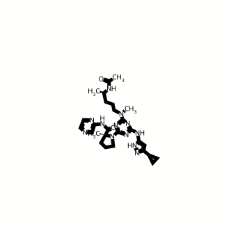 CC(=O)N[C@H](C)CCCN(C)c1nc(Nc2cc(C3CC3)n[nH]2)nc(N2CCC[C@@]2(C)C(=O)Nc2cnccn2)n1